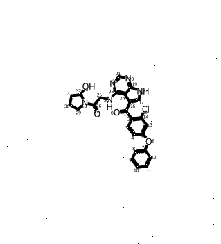 O=C(c1ccc(Oc2ccccc2)cc1Cl)c1c[nH]c2ncnc(NCC(=O)N3CCCC3O)c12